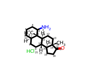 C[C@]12C(N)CCC[C@@H]1CC[C@@H]1[C@@H]2CC[C@]2(C)C(=O)CC[C@@H]12.Cl